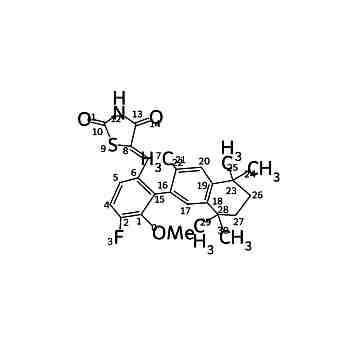 COc1c(F)ccc(C=C2SC(=O)NC2=O)c1-c1cc2c(cc1C)C(C)(C)CCC2(C)C